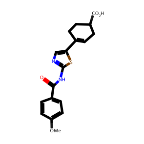 COc1ccc(C(=O)Nc2ncc(C3=CCC(C(=O)O)CC3)s2)cc1